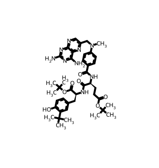 CN(Cc1cnc2nc(N)nc(N)c2n1)c1ccc(C(=O)N[C@@H](CCC(=O)OC(C)(C)C)C(=O)N[C@@H](Cc2ccc(O)c(C(C)(C)C)c2)C(=O)OC(C)(C)C)cc1